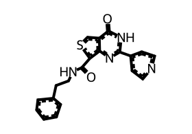 O=C(NCCc1ccccc1)c1scc2c(=O)[nH]c(-c3ccncc3)nc12